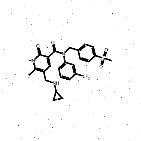 Cc1[nH]c(=O)c(C(=O)N(Cc2ccc(S(C)(=O)=O)cc2)c2cccc(C(F)(F)F)c2)cc1CNC1CC1